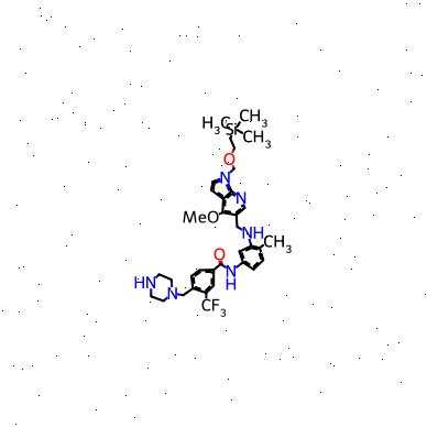 COc1c(CNc2cc(NC(=O)c3ccc(CN4CCNCC4)c(C(F)(F)F)c3)ccc2C)cnc2c1ccn2COCC[Si](C)(C)C